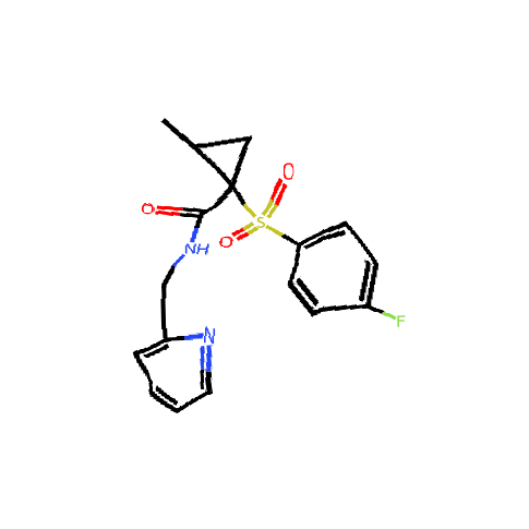 CC1CC1(C(=O)NCc1ccccn1)S(=O)(=O)c1ccc(F)cc1